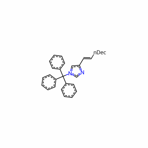 CCCCCCCCCC/C=C/c1cn(C(c2ccccc2)(c2ccccc2)c2ccccc2)cn1